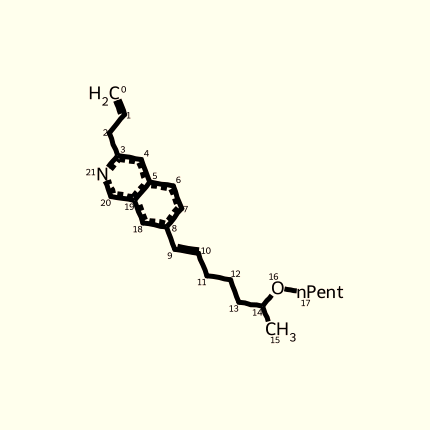 C=CCc1cc2ccc(/C=C/CCCC(C)OCCCCC)cc2cn1